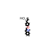 Cn1c(COc2ccc(CCC(=O)O)cc2)cc2ccccc21